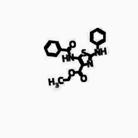 CCOC(=O)c1nc(Nc2ccccc2)sc1NC(=O)c1ccccc1